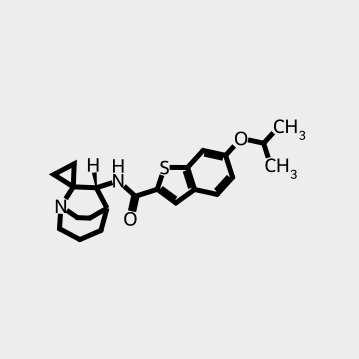 CC(C)Oc1ccc2cc(C(=O)N[C@@H]3C4CCCN(CC4)C34CC4)sc2c1